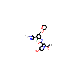 CC(C)C(=O)c1cc(C(=O)Nc2cc(COC3CCCCO3)cc(-c3cnn(C)c3)c2F)c2cc(O)ccn12